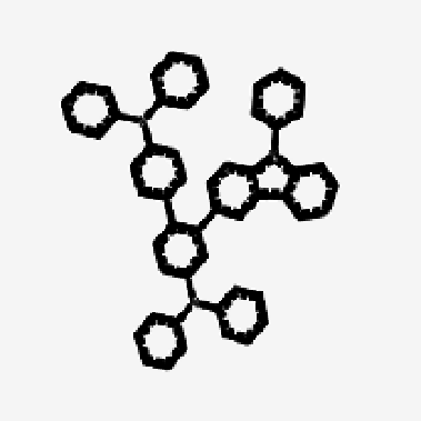 c1ccc(N(c2ccccc2)c2ccc(-c3ccc(N(c4ccccc4)c4ccccc4)cc3-c3ccc4c(c3)c3ccccc3n4-c3ccccc3)cc2)cc1